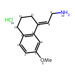 COc1ccc2c(c1)C(=CCN)CCC2.Cl